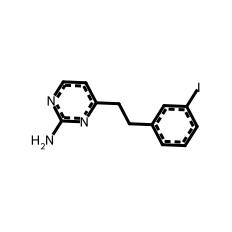 Nc1nccc(CCc2cccc(I)c2)n1